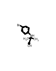 C#CC(C)(C)Nc1ccc(Br)cc1